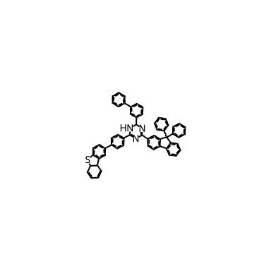 C1=CC2Sc3ccc(-c4ccc(C5=NC(c6ccc7c(c6)C(c6ccccc6)(c6ccccc6)c6ccccc6-7)=NC(c6cccc(-c7ccccc7)c6)N5)cc4)cc3C2C=C1